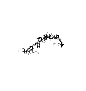 CC1(C)C[C@H](CCCNc2cc(S(=O)(=O)NC(=O)c3ccc(-n4ccc(OCCC5(C(F)(F)F)CC5)n4)nc3Cl)ccn2)CN1C(=O)O